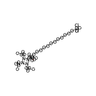 O=C(CCOCCOCCOCCOCCOCCOCCOCCOCCOCCOCCOCCOCCC(=O)Oc1c(Cl)cccc1Cl)NCC1CN(Cc2cccc(=O)n2OCc2ccccc2)CCN(Cc2cccc(=O)n2OCc2ccccc2)CCN(Cc2cccc(=O)n2OCc2ccccc2)CCN1Cc1cccc(=O)n1OCc1ccccc1